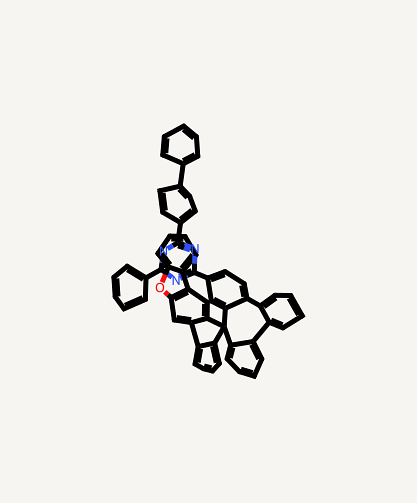 c1ccc(-c2ccc(-c3nc(-c4ccccc4)nc(-c4ccc5c(c4)C4(c6ccccc6-c6ccccc6-5)c5ccccc5-c5cc6oc7ccccc7c6cc54)n3)cc2)cc1